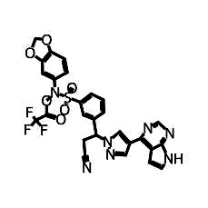 N#CCC(c1cccc(S(=O)(=O)N(OC(=O)C(F)(F)F)c2ccc3c(c2)OCO3)c1)n1cc(-c2ncnc3[nH]ccc23)cn1